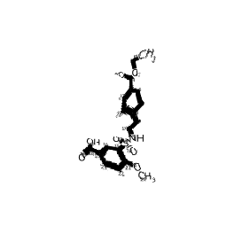 CCOC(=O)c1ccc(CCNS(=O)(=O)c2cc(C(=O)O)ccc2OC)cc1